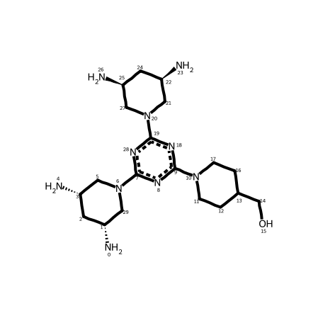 N[C@@H]1C[C@H](N)CN(c2nc(N3CCC(CO)CC3)nc(N3C[C@H](N)C[C@H](N)C3)n2)C1